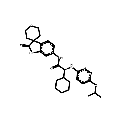 CC(C)Oc1ccc(N[C@H](C(=O)Nc2ccc3c(c2)NC(=O)C32CCOCC2)C2CCCCC2)nn1